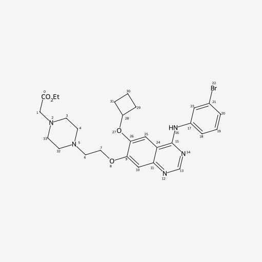 CCOC(=O)CN1CCN(CCOc2cc3ncnc(Nc4cccc(Br)c4)c3cc2OC2CCC2)CC1